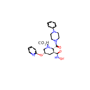 O=C(NO)[C@H]1C[C@H](Oc2ccccn2)CN(C(=O)O)[C@@H]1C(=O)N1CCN(c2ccccc2)CC1